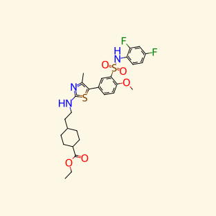 CCOC(=O)C1CCC(CCNc2nc(C)c(-c3ccc(OC)c(S(=O)(=O)Nc4ccc(F)cc4F)c3)s2)CC1